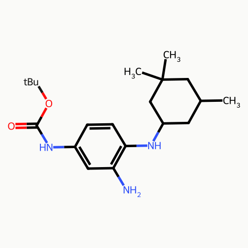 CC1CC(Nc2ccc(NC(=O)OC(C)(C)C)cc2N)CC(C)(C)C1